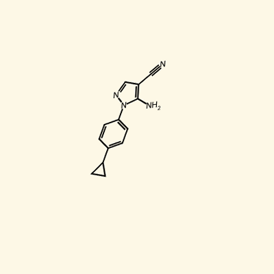 N#Cc1cnn(-c2ccc(C3CC3)cc2)c1N